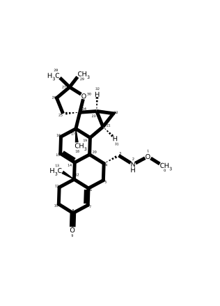 CONC[C@@H]1CC2=CC(=O)CC[C@]2(C)C2=CC[C@@]3(C)C(C21)[C@@H]1C[C@@H]1[C@@]31CCC(C)(C)O1